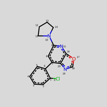 Clc1ccccc1-c1cc(N2CCCC2)nc2ocnc12